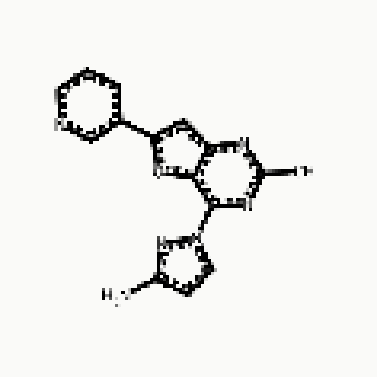 Cc1nc(-n2ccc(N)n2)c2oc(-c3cccnc3)cc2n1